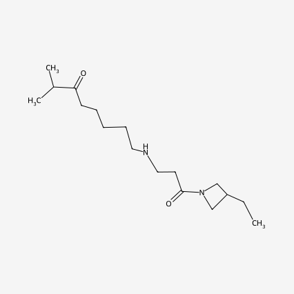 CCC1CN(C(=O)CCNCCCCCC(=O)C(C)C)C1